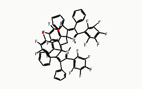 C[Si]1=C(c2c(F)c(F)c(F)c(F)c2F)C(c2ccccc2)=C(c2ccccc2)C1(CCC1(c2c(F)c(F)c(F)c(F)c2F)C(c2ccccc2)=C(c2ccccc2)C(c2c(F)c(F)c(F)c(F)c2F)=[Si]1C)c1c(F)c(F)c(F)c(F)c1F